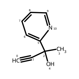 C#CC(C)(O)c1ccccn1